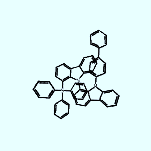 c1ccc(-c2ccc(-n3c4ccccc4c4cccc(-n5c6ccccc6c6cccc([Si](c7ccccc7)(c7ccccc7)c7ccccc7)c65)c43)cc2)cc1